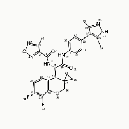 Cc1nonc1C(=O)N[C@H](C(=O)Nc1ccc(-c2c(C)n[nH]c2C)cc1)C1c2ccc(F)c(F)c2OCC12CC2